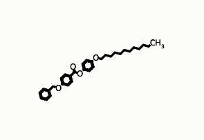 CCCCCCCCCCCCOc1ccc(OC(=O)c2ccc(OCc3ccccc3)cc2)cc1